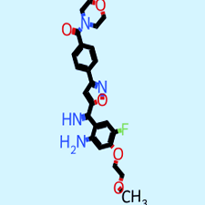 COCCOc1cc(N)c(C(=N)c2cc(-c3ccc(C(=O)N4CCOCC4)cc3)no2)cc1F